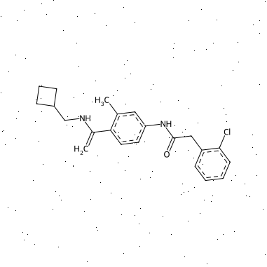 C=C(NCC1CCC1)c1ccc(NC(=O)Cc2ccccc2Cl)cc1C